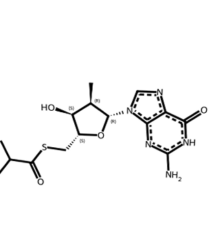 CC(C)C(=O)SC[C@H]1O[C@@H](n2cnc3c(=O)[nH]c(N)nc32)[C@H](C)[C@@H]1O